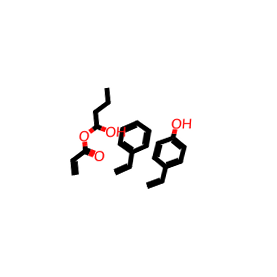 C=CC(=O)OC(O)CCC.C=Cc1ccc(O)cc1.C=Cc1ccccc1